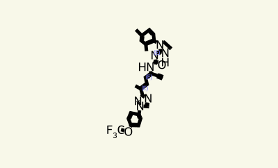 C#C/C(=C\C=C(/C)c1ncn(-c2ccc(OC(F)(F)F)cc2)n1)NC(=O)/N=C1\NCCN1c1ccc(C)cc1C